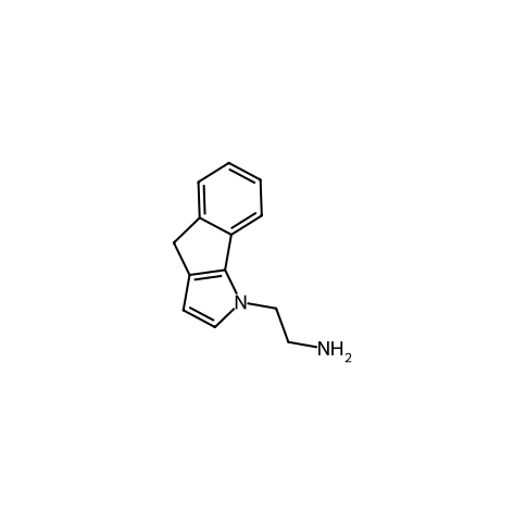 NCCn1ccc2c1-c1ccccc1C2